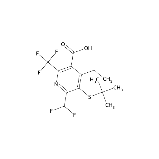 CCc1c(SC(C)(C)C)c(C(F)F)nc(C(F)(F)F)c1C(=O)O